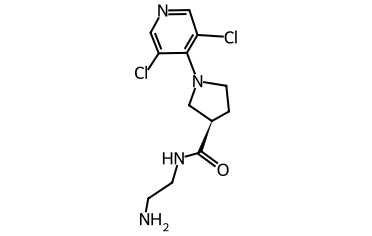 NCCNC(=O)[C@@H]1CCN(c2c(Cl)cncc2Cl)C1